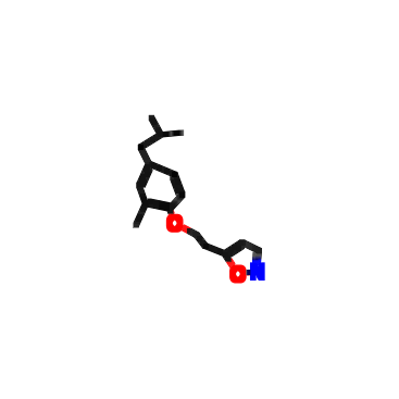 Cc1cc(CC(C)C)ccc1OCCc1ccno1